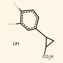 O=C(O)C1CC1c1ccc(F)c(F)c1.[LiH]